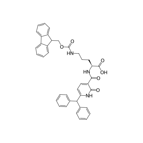 O=C(NCCC[C@H](NC(=O)c1ccc(C(c2ccccc2)c2ccccc2)[nH]c1=O)C(=O)O)OCC1c2ccccc2-c2ccccc21